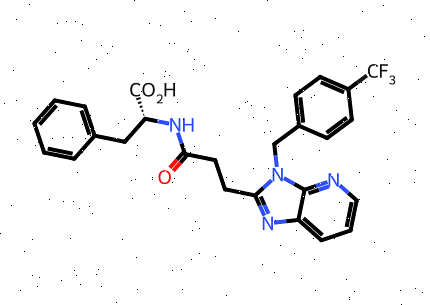 O=C(CCc1nc2cccnc2n1Cc1ccc(C(F)(F)F)cc1)N[C@H](Cc1ccccc1)C(=O)O